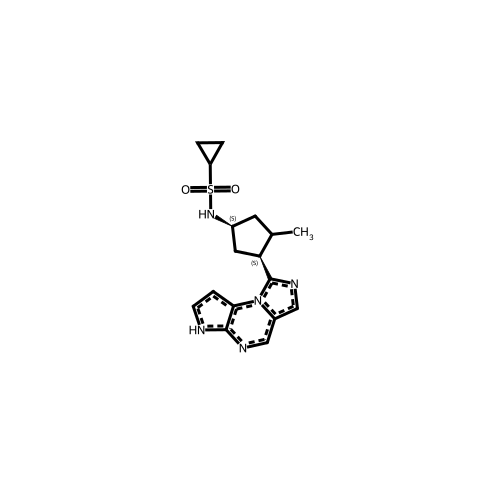 CC1C[C@H](NS(=O)(=O)C2CC2)C[C@@H]1c1ncc2cnc3[nH]ccc3n12